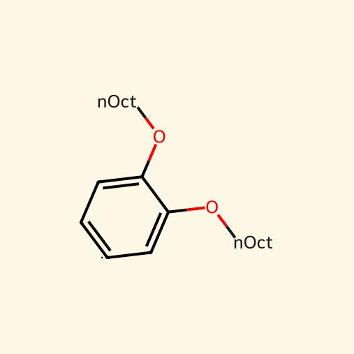 CCCCCCCCOc1c[c]ccc1OCCCCCCCC